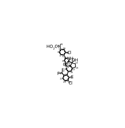 CN(C(=O)O)c1ccc(-c2cnc(C3(O)CCc4cc(-c5c(C(F)F)ccc(Cl)c5F)c[n+]([O-])c43)[nH]2)c(Cl)c1